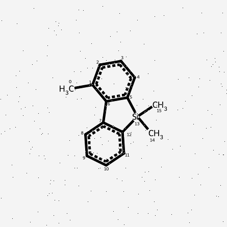 Cc1cccc2c1-c1ccccc1[Si]2(C)C